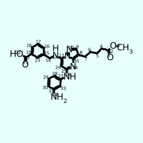 COC(=O)CCCCc1cnn2c(NCc3cccc(C(=O)O)c3)cc(Nc3cccc(N)c3)nc12